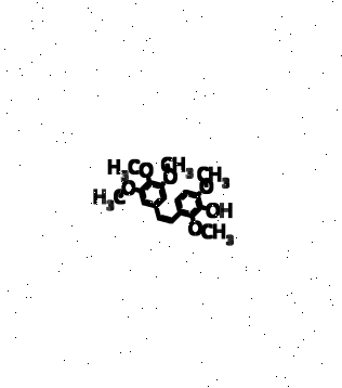 COc1ccc(/C=C\c2cc(OC)c(OC)c(OC)c2)c(OC)c1O